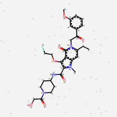 CCc1cc2c(c(OCCF)c(C(=O)NC3CCN(C(=O)CO)CC3)n2C)c(=O)n1CC(=O)c1cccc(OC)c1